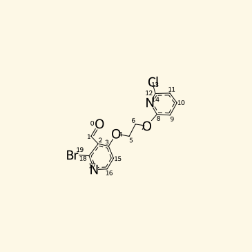 O=Cc1c(OCCOc2cccc(Cl)n2)ccnc1Br